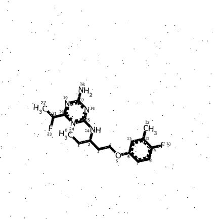 CCC(CCOc1ccc(F)c(C)c1)Nc1nc(N)nc(C(C)F)n1